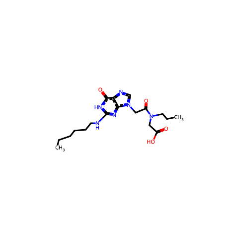 CCCCCCNc1nc2c(ncn2CC(=O)N(CCC)CC(=O)O)c(=O)[nH]1